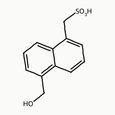 O=S(=O)(O)Cc1cccc2c(CO)cccc12